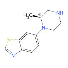 C[C@H]1CNCCN1c1ccc2ncsc2c1